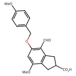 COc1ccc(COc2cc(OC)c3c(c2C=O)CC(C(=O)O)C3)cc1